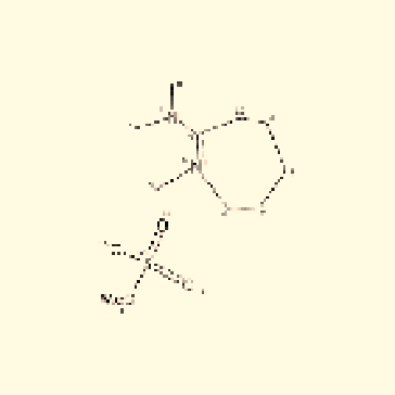 CN(C)C1=[N+](C)CCCCC1.COS(=O)(=O)[O-]